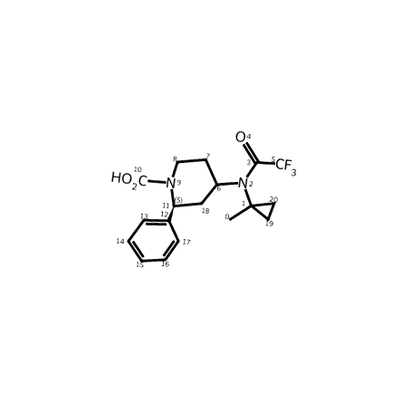 CC1(N(C(=O)C(F)(F)F)C2CCN(C(=O)O)[C@H](c3ccccc3)C2)CC1